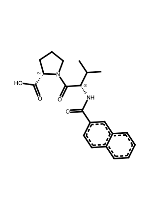 CC(C)[C@H](NC(=O)c1ccc2ccccc2c1)C(=O)N1CCC[C@H]1C(=O)O